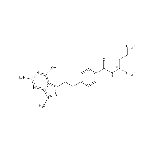 Cn1cc(CCc2ccc(C(=O)N[C@H](CCC(=O)O)C(=O)O)cc2)c2c(O)nc(N)nc21